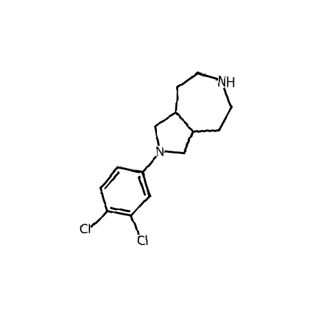 Clc1ccc(N2CC3CCNCCC3C2)cc1Cl